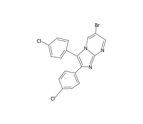 Clc1ccc(-c2nc3ncc(Br)cn3c2-c2ccc(Cl)cc2)cc1